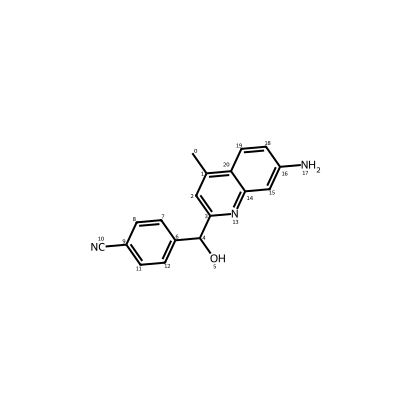 Cc1cc(C(O)c2ccc(C#N)cc2)nc2cc(N)ccc12